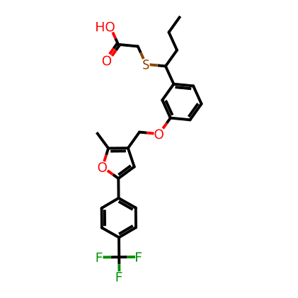 CCCC(SCC(=O)O)c1cccc(OCc2cc(-c3ccc(C(F)(F)F)cc3)oc2C)c1